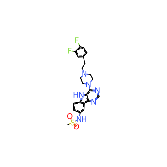 CS(=O)(=O)Nc1ccc2[nH]c3c(N4CCN(CCc5ccc(F)c(F)c5)CC4)ncnc3c2c1